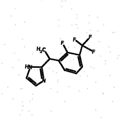 CC(c1ncc[nH]1)c1cccc(C(F)(F)F)c1F